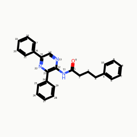 O=C(CCCc1ccccc1)Nc1ncc(-c2ccccc2)nc1-c1ccccc1